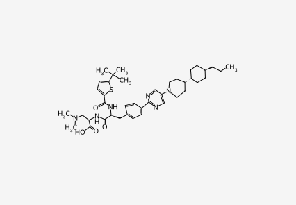 CCC[C@H]1CC[C@H](C2CCN(c3cnc(-c4ccc(C[C@H](NC(=O)c5ccc(C(C)(C)C)s5)C(=O)NC(CN(C)C)C(=O)O)cc4)nc3)CC2)CC1